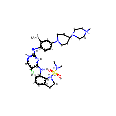 COc1cc(N2CCC(N3CCN(C)CC3)CC2)ccc1Nc1ncc(Cl)c(Nc2cccc3c2N(S(=O)(=O)N(C)C)CC3)n1